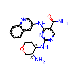 NC(=O)c1cnc(N[C@@H]2CCOC[C@@H]2N)nc1Nc1cnc2ccccc2c1